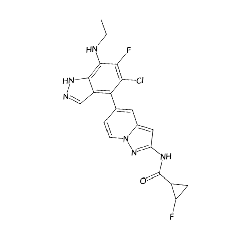 CCNc1c(F)c(Cl)c(-c2ccn3nc(NC(=O)C4CC4F)cc3c2)c2cn[nH]c12